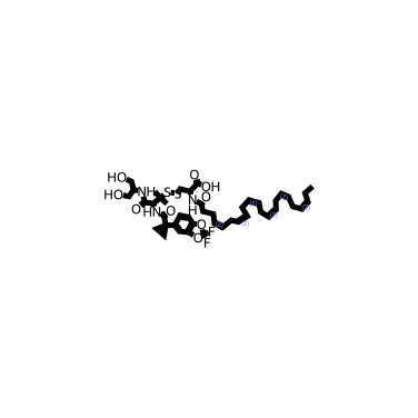 CC/C=C\C/C=C\C/C=C\C/C=C\C/C=C\C/C=C\CCC(=O)NC(CSSC(C)(C)C(NC(=O)C1(c2ccc3c(c2)OC(F)(F)O3)CC1)C(=O)NC(CO)CO)C(=O)O